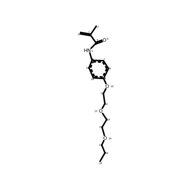 C=C(C)C(=O)Nc1ccc(OCCOCCOCCC)cc1